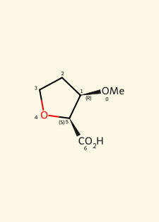 CO[C@@H]1CCO[C@@H]1C(=O)O